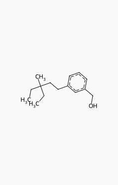 CCC(C)(CC)CCc1cccc(CO)c1